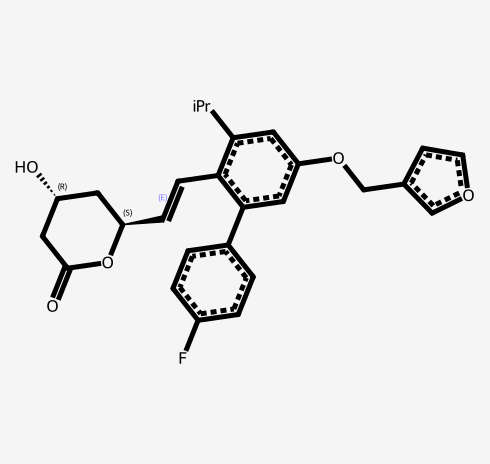 CC(C)c1cc(OCc2ccoc2)cc(-c2ccc(F)cc2)c1/C=C/[C@@H]1C[C@@H](O)CC(=O)O1